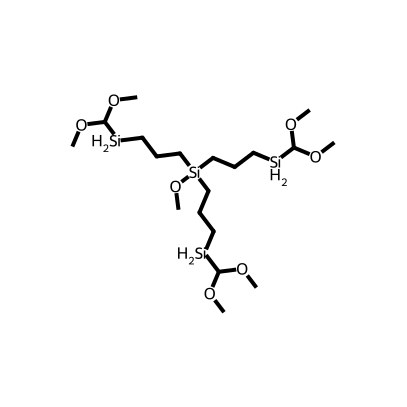 COC(OC)[SiH2]CCC[Si](CCC[SiH2]C(OC)OC)(CCC[SiH2]C(OC)OC)OC